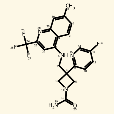 Cc1ccc2c(NCC3(c4ccc(F)cn4)CN(C(N)=O)C3)cc(C(F)(F)F)nc2c1